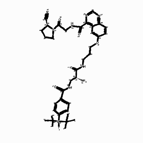 CC(C)(C)[Si](F)(c1ccc(C(=O)NC[C@@H](N)C(=O)NCCCOc2ccc3ncnc(C(=O)NCC(=O)N4CCC[C@H]4C#N)c3c2)cc1)C(C)(C)C